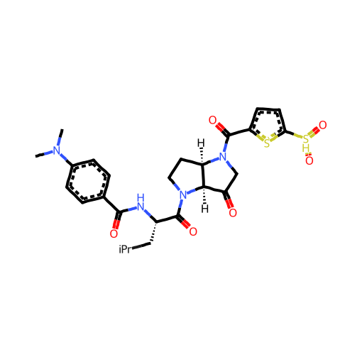 CC(C)C[C@H](NC(=O)c1ccc(N(C)C)cc1)C(=O)N1CC[C@@H]2[C@H]1C(=O)CN2C(=O)c1ccc([SH](=O)=O)s1